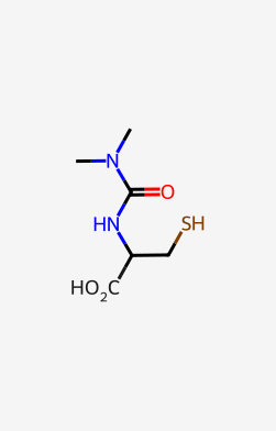 CN(C)C(=O)NC(CS)C(=O)O